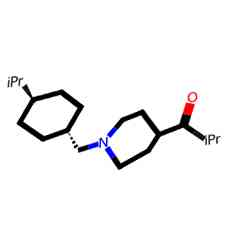 CC(C)C(=O)C1CCN(C[C@H]2CC[C@H](C(C)C)CC2)CC1